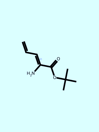 C=C/C=C(\N)C(=O)OC(C)(C)C